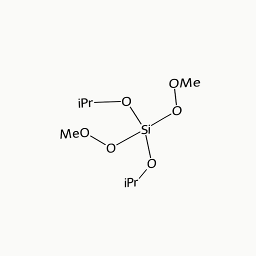 COO[Si](OOC)(OC(C)C)OC(C)C